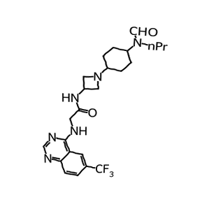 CCCN(C=O)C1CCC(N2CC(NC(=O)CNc3ncnc4ccc(C(F)(F)F)cc34)C2)CC1